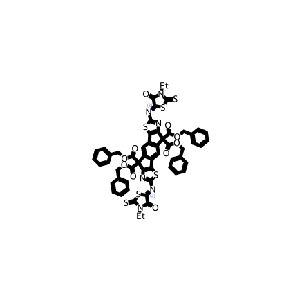 CCN1C(=O)/C(=N/c2nc3c(s2)-c2cc4c(cc2C3(C(=O)OCc2ccccc2)C(=O)OCc2ccccc2)-c2sc(/N=C3\SC(=S)N(CC)C3=O)nc2C4(C(=O)OCc2ccccc2)C(=O)OCc2ccccc2)SC1=S